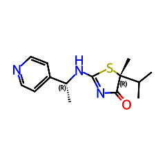 CC(C)[C@@]1(C)SC(N[C@H](C)c2ccncc2)=NC1=O